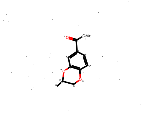 COC(=O)c1ccc2c(c1)OC(C)CO2